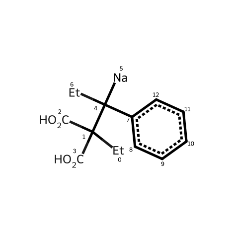 CCC(C(=O)O)(C(=O)O)[C]([Na])(CC)c1ccccc1